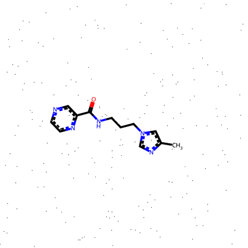 Cc1cn(CCCNC(=O)c2cnccn2)cn1